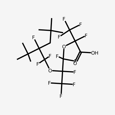 CC(C)(C)CC(F)(C(C)(C)C)C(F)(F)OC(F)(C(F)(F)F)C(F)(F)OC(F)(C(=O)O)C(F)(F)F